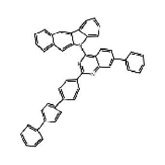 c1ccc(-c2ccc(-c3ccc(-c4nc(-n5c6ccccc6c6cc7ccccc7cc65)c5ccc(-c6ccccc6)cc5n4)cc3)cc2)cc1